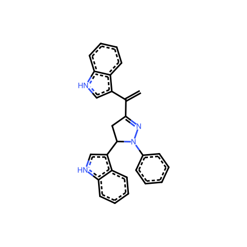 C=C(C1=NN(c2ccccc2)C(c2c[nH]c3ccccc23)C1)c1c[nH]c2ccccc12